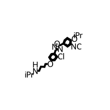 [C-]#[N+]c1cc(-c2nc(-c3ccc(OCCCCNC(C)C)cc3Cl)no2)ccc1OC(C)C